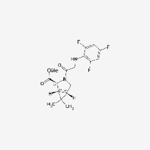 COC(=O)[C@@H]1[C@@H]2[C@H](CN1C(=O)CNc1c(F)cc(F)cc1F)C2(C)C